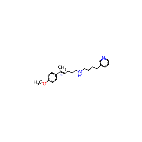 COc1ccc(/C(C)=C/CCCNCCCCc2cccnc2)cc1